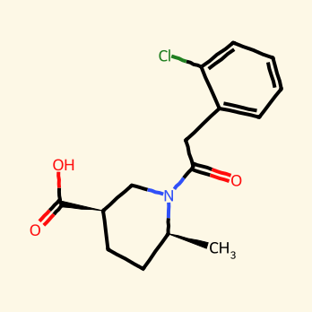 C[C@H]1CC[C@@H](C(=O)O)CN1C(=O)Cc1ccccc1Cl